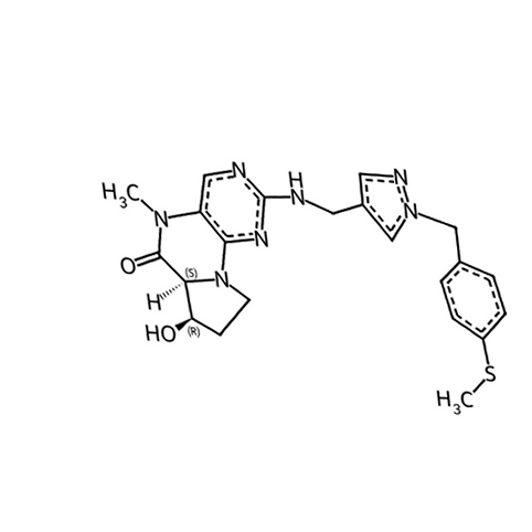 CSc1ccc(Cn2cc(CNc3ncc4c(n3)N3CC[C@@H](O)[C@H]3C(=O)N4C)cn2)cc1